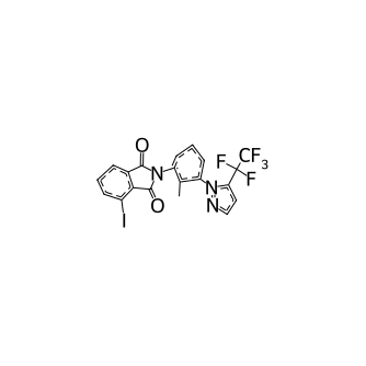 Cc1c(N2C(=O)c3cccc(I)c3C2=O)cccc1-n1nccc1C(F)(F)C(F)(F)F